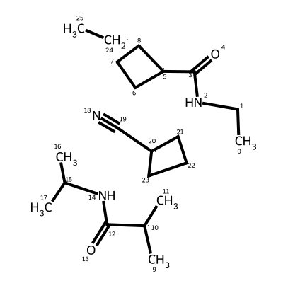 CCNC(=O)[C]1CCC1.C[C](C)C(=O)NC(C)C.N#C[C]1CCC1.[CH2]C